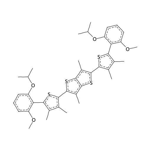 COc1cccc(OC(C)C)c1-c1sc(-c2sc3c(C)c(-c4sc(-c5c(OC)cccc5OC(C)C)c(C)c4C)sc3c2C)c(C)c1C